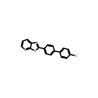 Clc1ccc(-c2ccc(-c3nc4cccnc4o3)cc2)cc1